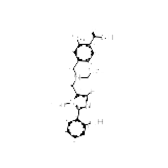 CCCCn1c(-c2ccccc2C)nc(Cl)c1CN(Cc1ccc(C(N)=O)c(O)c1)CC(C)(C)C